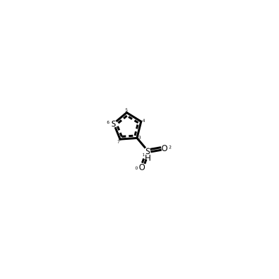 O=[SH](=O)c1ccsc1